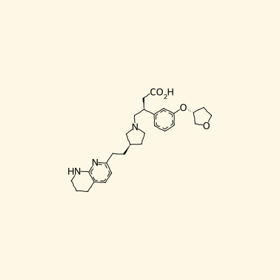 O=C(O)C[C@H](CN1CC[C@@H](CCc2ccc3c(n2)NCCC3)C1)c1cccc(O[C@@H]2CCOC2)c1